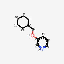 c1cncc(OCC2CCCCC2)c1